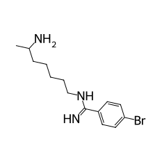 CC(N)CCCCCNC(=N)c1ccc(Br)cc1